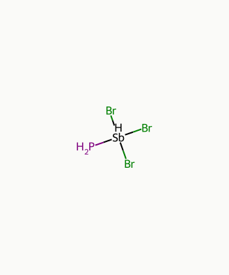 [PH2][SbH]([Br])([Br])[Br]